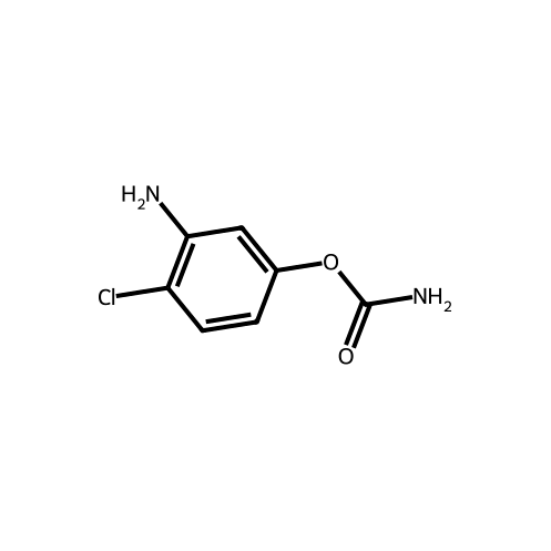 NC(=O)Oc1ccc(Cl)c(N)c1